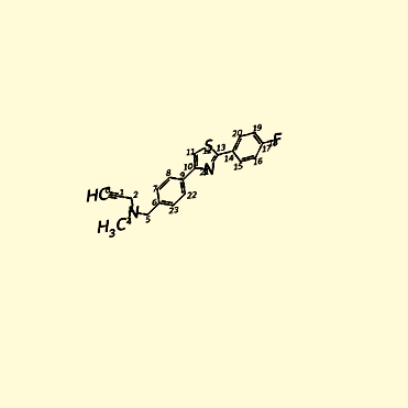 C#CCN(C)Cc1ccc(-c2csc(-c3ccc(F)cc3)n2)cc1